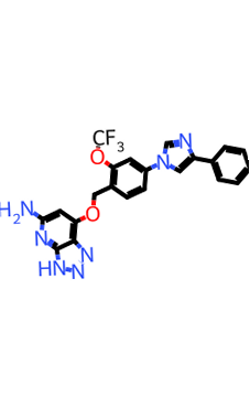 Nc1cc(OCc2ccc(-n3cnc(-c4ccccc4)c3)cc2OC(F)(F)F)c2nn[nH]c2n1